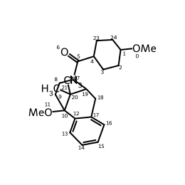 COC1CCC(C(=O)N2CCC3(OC)c4ccccc4CC2C3(C)C)CC1